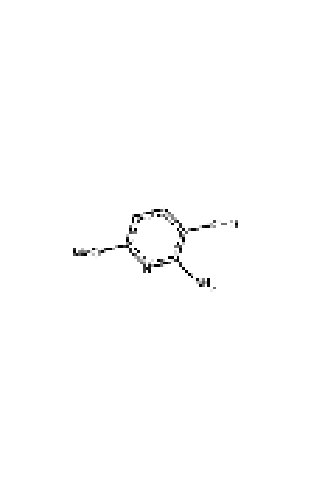 Bc1nc(OC)ccc1C=O